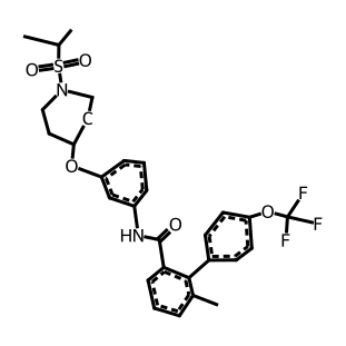 Cc1cccc(C(=O)Nc2cccc(OC3CCN(S(=O)(=O)C(C)C)CC3)c2)c1-c1ccc(OC(F)(F)F)cc1